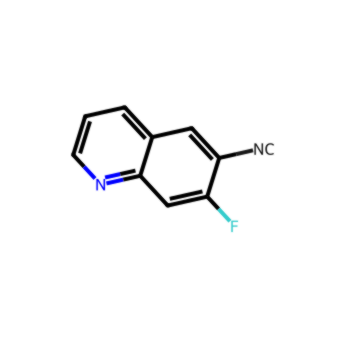 [C-]#[N+]c1cc2cccnc2cc1F